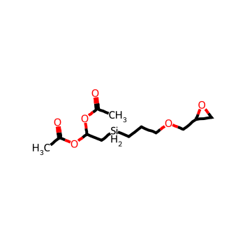 CC(=O)OC(C[SiH2]CCCOCC1CO1)OC(C)=O